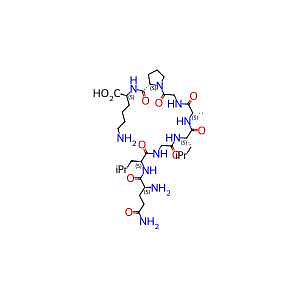 CC(C)C[C@H](NC(=O)CNC(=O)[C@H](CC(C)C)NC(=O)[C@@H](N)CCC(N)=O)C(=O)N[C@@H](C)C(=O)NCC(=O)N1CCC[C@H]1C(=O)N[C@@H](CCCCN)C(=O)O